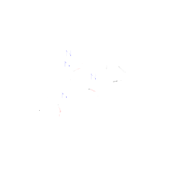 Cc1ccc(NC(=O)[C@H]2CN(C(=O)OC(C)(C)C)C[C@@H]2C(=O)NN)c(C)c1